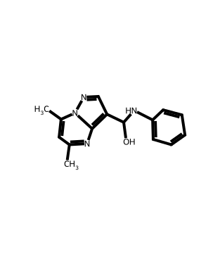 Cc1cc(C)n2ncc(C(O)Nc3ccccc3)c2n1